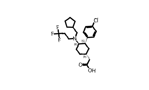 O=C(O)C[C@@H]1CC[C@@H](N(CCC(F)(F)F)CC2CCCC2)[C@H](c2ccc(Cl)cc2)C1